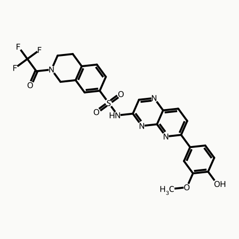 COc1cc(-c2ccc3ncc(NS(=O)(=O)c4ccc5c(c4)CN(C(=O)C(F)(F)F)CC5)nc3n2)ccc1O